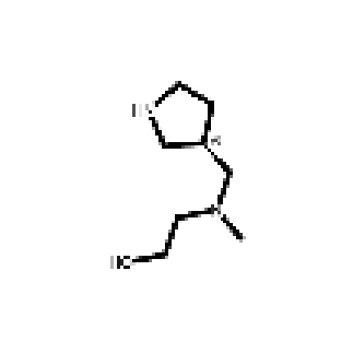 CN(CCO)C[C@@H]1CCNC1